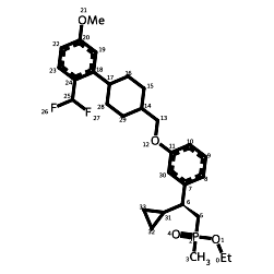 CCOP(C)(=O)C[C@H](c1cccc(OCC2CCC(c3cc(OC)ccc3C(F)F)CC2)c1)C1CC1